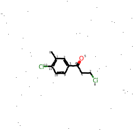 Cc1cc(C(=O)CCCl)ccc1Cl